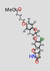 COC(=O)CCCCOc1c(C)c(C)c2c(c1C)CCC(C)(COc1ccc(C=C3SC(=O)NC3=O)cc1Br)O2